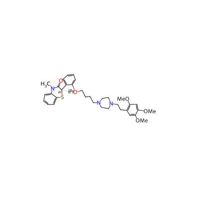 COc1cc(OC)c(OC)cc1CCN1CCN(CCCCOc2ccccc2[C@@]2(C(C)C)Sc3ccccc3N(C)C2=O)CC1